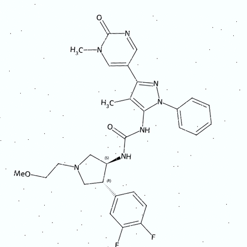 COCCN1C[C@@H](NC(=O)Nc2c(C)c(-c3cnc(=O)n(C)c3)nn2-c2ccccc2)[C@H](c2ccc(F)c(F)c2)C1